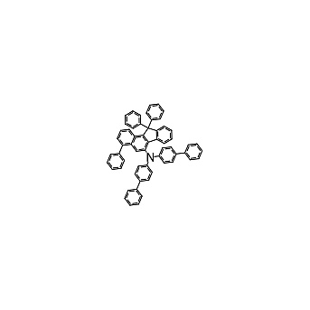 c1ccc(-c2ccc(N(c3ccc(-c4ccccc4)cc3)c3cc4c(-c5ccccc5)cccc4c4c3-c3ccccc3C4(c3ccccc3)c3ccccc3)cc2)cc1